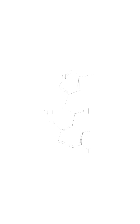 CC(Oc1cncc(Br)c1)c1c(Cl)ccc(F)c1Cl.N